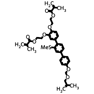 C=C(C)COCOc1ccc(-c2ccc(-c3ccc(OCCOC(=O)C(=C)C)c(OCCOC(=O)C(=C)C)c3)c(SC)c2)cc1